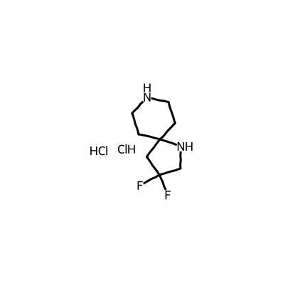 Cl.Cl.FC1(F)CNC2(CCNCC2)C1